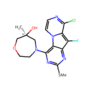 CSc1nc(N2CCOC[C@@](C)(O)C2)c2c(n1)c(F)c1c(Cl)nccn12